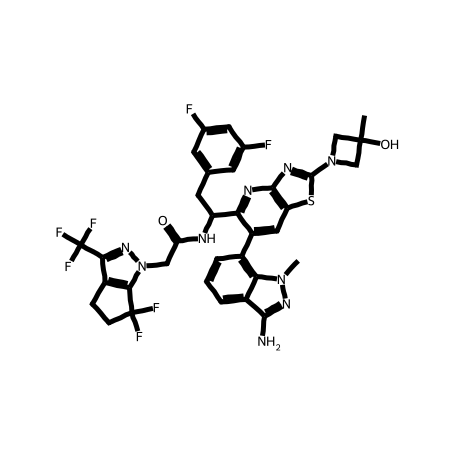 Cn1nc(N)c2cccc(-c3cc4sc(N5CC(C)(O)C5)nc4nc3C(Cc3cc(F)cc(F)c3)NC(=O)Cn3nc(C(F)(F)F)c4c3C(F)(F)CC4)c21